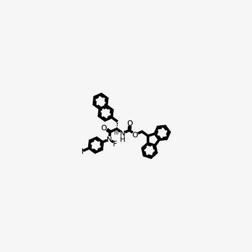 O=C(N[C@@H](Cc1ccc2ccccc2c1)C(=O)N(F)c1ccc(I)cc1)OCC1c2ccccc2-c2ccccc21